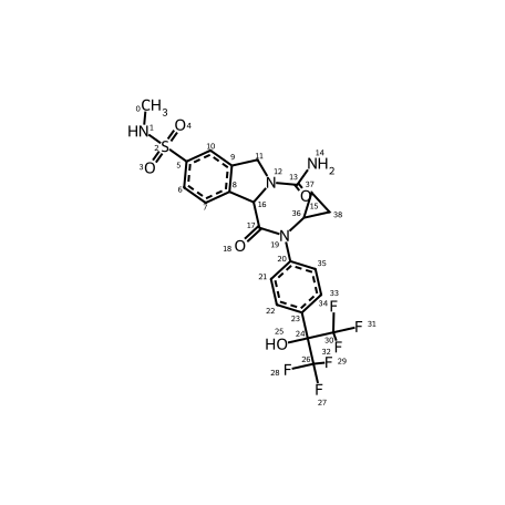 CNS(=O)(=O)c1ccc2c(c1)CN(C(N)=O)C2C(=O)N(c1ccc(C(O)(C(F)(F)F)C(F)(F)F)cc1)C1CC1